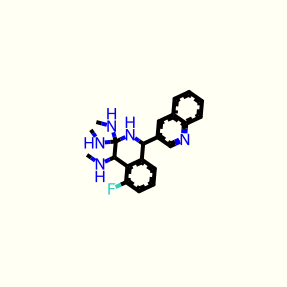 CNC1c2c(F)cccc2C(c2cnc3ccccc3c2)NC1(NC)NC